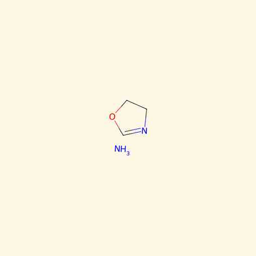 C1=NCCO1.N